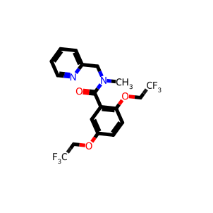 CN(Cc1ccccn1)C(=O)c1cc(OCC(F)(F)F)ccc1OCC(F)(F)F